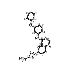 NC1CN(c2ccc3ncnc(Nc4cccc(Oc5ccccc5)c4)c3n2)C1